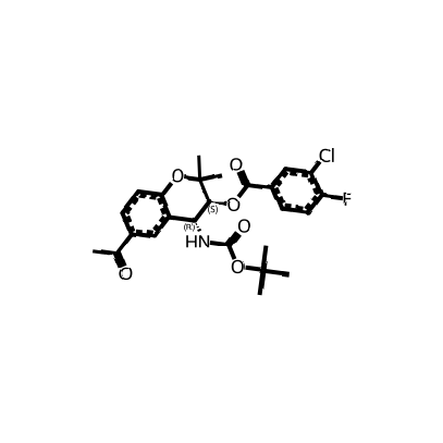 CC(=O)c1ccc2c(c1)[C@@H](NC(=O)OC(C)(C)C)[C@H](OC(=O)c1ccc(F)c(Cl)c1)C(C)(C)O2